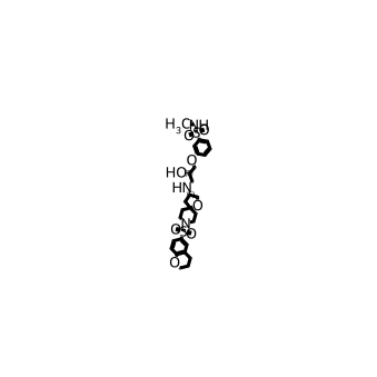 CNS(=O)(=O)c1cccc(OC[C@@H](O)CN[C@@H]2COC3(CCN(S(=O)(=O)c4ccc5c(c4)CCCO5)CC3)C2)c1